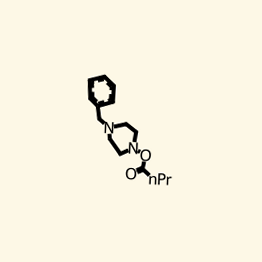 CCCC(=O)ON1CCN(Cc2ccccc2)CC1